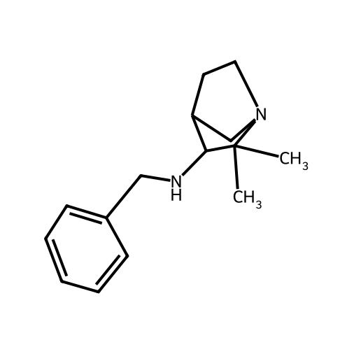 CC1(C)C(NCc2ccccc2)C2CCN1C2